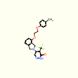 Cc1ccc(OCCOc2cccc3c2CN(c2cn[nH]c(=O)c2C(F)(F)F)C3)cc1